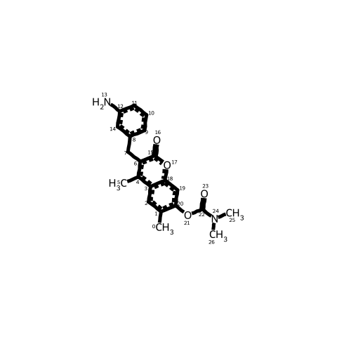 Cc1cc2c(C)c(Cc3cccc(N)c3)c(=O)oc2cc1OC(=O)N(C)C